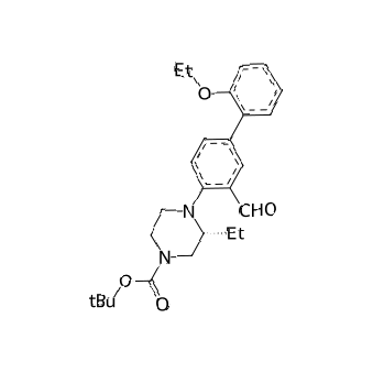 CCOc1ccccc1-c1ccc(N2CCN(C(=O)OC(C)(C)C)C[C@H]2CC)c(C=O)c1